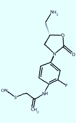 C=C(CSN=O)Nc1ccc(N2C[C@H](CN)OC2=O)cc1F